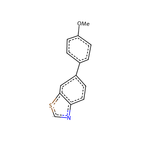 COc1ccc(-c2ccc3n[c]sc3c2)cc1